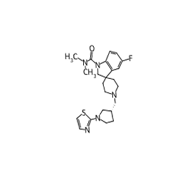 CN(C)C(=O)N1CC2(CCN(C[C@@H]3CCN(c4nccs4)C3)CC2)c2cc(F)ccc21